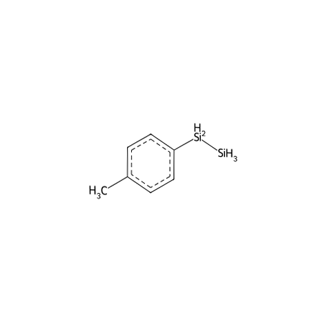 Cc1ccc([SiH2][SiH3])cc1